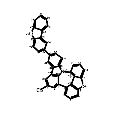 Clc1cc2c3cccc4sc5cccc(c5c43)n3c4ccc(-c5ccc6oc7ccccc7c6c5)cc4c(c1)c23